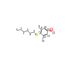 CCCCCCSc1c(C)cc(OC)cc1C